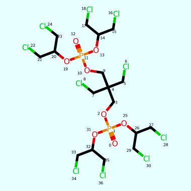 O=P(OCC(CCl)(CCl)COP(=O)(OC(CCl)CCl)OC(CCl)CCl)(OC(CCl)CCl)OC(CCl)CCl